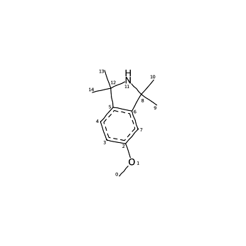 COc1ccc2c(c1)C(C)(C)NC2(C)C